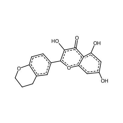 O=c1c(O)c(-c2ccc3c(c2)CCCO3)oc2cc(O)cc(O)c12